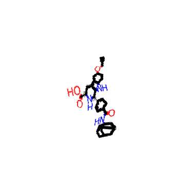 C#CCOc1ccc2[nH]c3c(c2c1)C[C@H](C(=O)O)N[C@H]3c1ccc(C(=O)NC23CC4CC(CC(C4)C2)C3)cc1